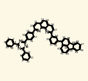 c1ccc(-c2nc(-c3ccccc3)nc(-c3ccc(-c4ccc5ccc6ccc(-c7cccc(-c8ccc9c%10c(cccc8%10)-c8ccccc8-9)c7)nc6c5n4)cc3)n2)cc1